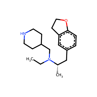 CCN(CC1CCNCC1)[C@@H](C)Cc1ccc2c(c1)CCO2